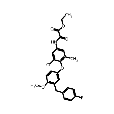 CCOC(=O)C(=O)Nc1cc(C)c(Oc2ccc(OC)c(Cc3ccc(F)cc3)c2)c(Cl)c1